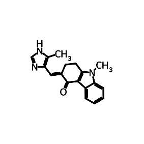 Cc1[nH]cnc1C=C1CCc2c(c3ccccc3n2C)C1=O